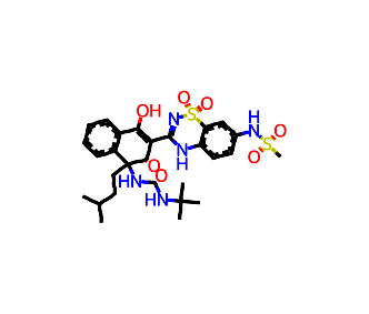 CC(C)CCC1(NC(=O)NC(C)(C)C)C(=O)C(C2=NS(=O)(=O)c3cc(NS(C)(=O)=O)ccc3N2)=C(O)c2ccccc21